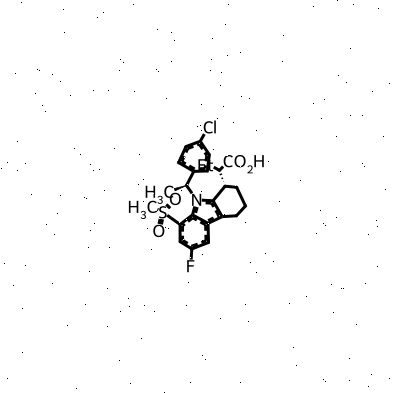 CCC(C(=O)O)[C@@H]1CCCc2c1n([C@@H](C)c1ccc(Cl)cc1)c1c(S(C)(=O)=O)cc(F)cc21